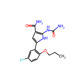 CCCOc1ccc(F)cc1-c1cc(C(N)=O)c(NC(N)=O)[nH]1